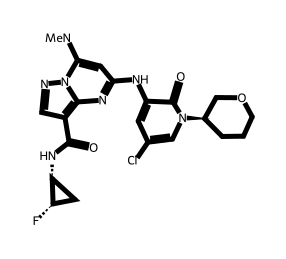 CNc1cc(Nc2cc(Cl)cn([C@@H]3CCCOC3)c2=O)nc2c(C(=O)N[C@@H]3C[C@@H]3F)cnn12